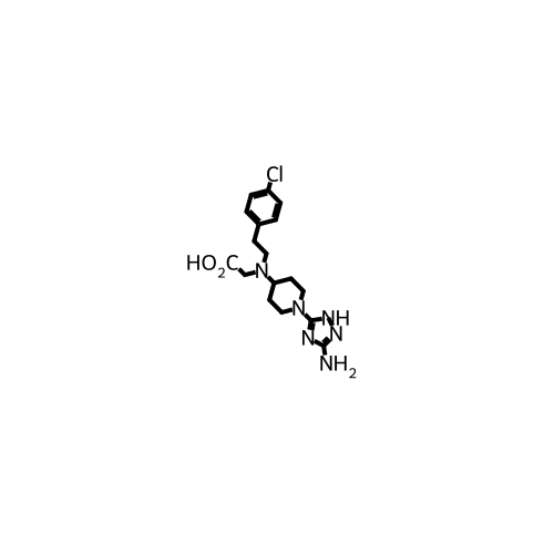 Nc1n[nH]c(N2CCC(N(CCc3ccc(Cl)cc3)CC(=O)O)CC2)n1